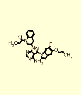 C=CCOc1cc2ccn(-c3nn(C4Cc5ccccc5N(C(=O)C=C)C4)c4ncnc(N)c34)c2cc1F